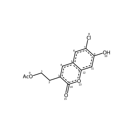 CC(=O)OCCc1cc2cc(Cl)c(O)cc2oc1=O